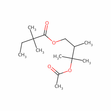 CCC(C)(C)C(=O)OCC(C)C(C)(C)OC(C)=O